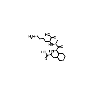 C[C@H](NC(CCCCN)C(=O)O)C(=O)C1NC(C(=O)O)CC2CCCCC21